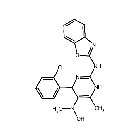 CC1=C(N(C)O)C(c2ccccc2Cl)N=C(Nc2nc3ccccc3o2)N1